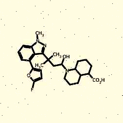 Cn1nc(C(C)(C)CC(O)N2CCCC3C(C(=O)O)CCCC32)c2c(-c3ccc(F)o3)cccc21